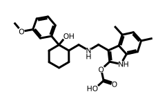 COc1cccc(C2(O)CCCCC2CNCc2c(OC(=O)O)[nH]c3cc(C)cc(C)c23)c1